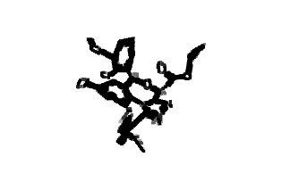 CCOC(=O)C[C@H]1O[C@H](c2cccc(OC)c2Cl)c2cc(Cl)ccc2-n2c1nnc2C(C)(F)F